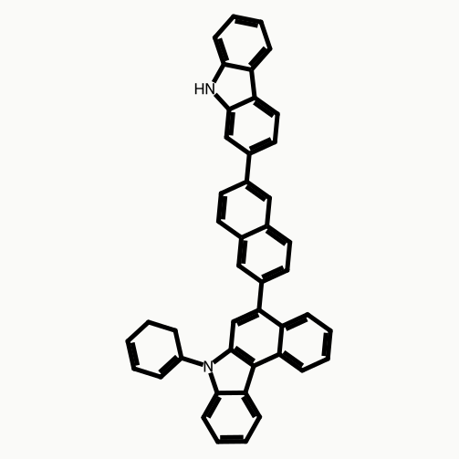 C1=CCCC(n2c3ccccc3c3c4ccccc4c(-c4ccc5cc(-c6ccc7c(c6)[nH]c6ccccc67)ccc5c4)cc32)=C1